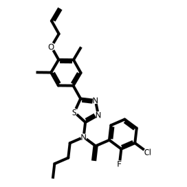 C=CCOc1c(C)cc(-c2nnc(N(CCCC)C(=C)c3cccc(Cl)c3F)s2)cc1C